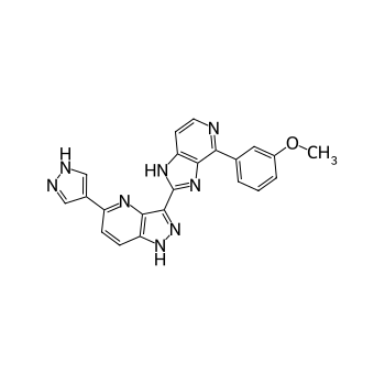 COc1cccc(-c2nccc3[nH]c(-c4n[nH]c5ccc(-c6cn[nH]c6)nc45)nc23)c1